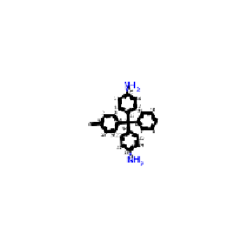 Cc1ccc(C(c2ccccc2)(c2ccc(N)cc2)c2ccc(N)cc2)cc1